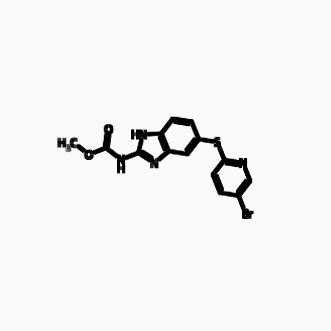 COC(=O)Nc1nc2cc(Sc3ccc(Br)cn3)ccc2[nH]1